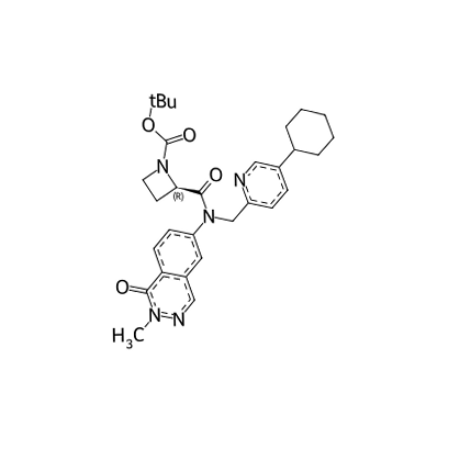 Cn1ncc2cc(N(Cc3ccc(C4CCCCC4)cn3)C(=O)[C@H]3CCN3C(=O)OC(C)(C)C)ccc2c1=O